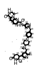 C[C@@H]1CNC(=O)c2cc3ccc(C(=O)Nc4cnn(Cc5ccc(N6CCC(N(C)Cc7cc(C8CCC(=O)NC8=O)cnc7F)CC6)cc5)c4)nc3n21